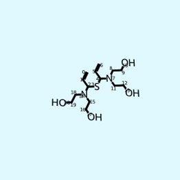 C=CC(SC(C=C)N(CCO)CCO)N(CCO)CCO